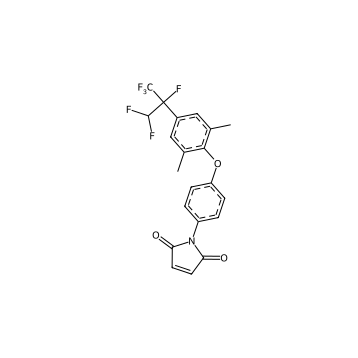 Cc1cc(C(F)(C(F)F)C(F)(F)F)cc(C)c1Oc1ccc(N2C(=O)C=CC2=O)cc1